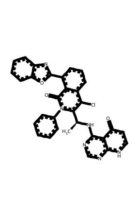 C[C@H](Nc1ncnc2[nH]ccc(=O)c12)c1c(Cl)c2cccc(-c3nc4ccccc4o3)c2c(=O)n1-c1ccccc1